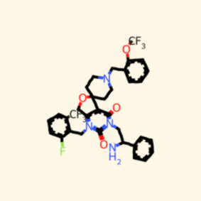 NC(Cn1c(=O)c2c(n(Cc3c(F)cccc3C(F)(F)F)c1=O)COC21CCN(Cc2ccccc2OC(F)(F)F)CC1)c1ccccc1